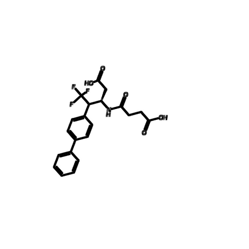 O=C(O)CCC(=O)N[C@H](CC(=O)O)C(c1ccc(-c2ccccc2)cc1)C(F)(F)F